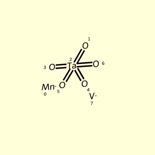 [Mn].[O]=[Ta](=[O])(=[O])(=[O])=[O].[V]